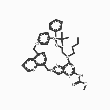 CCCCN(CCO[Si](c1ccccc1)(c1ccccc1)C(C)(C)C)c1nc(NC(=O)OC)nc2cn(Cc3ccc(CCl)c4cccnc34)nc12